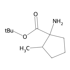 CC1CCCC1(N)C(=O)OC(C)(C)C